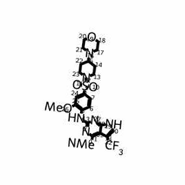 CNc1nc(Nc2ccc(S(=O)(=O)N3CCC(N4CCOCC4)CC3)cc2OC)nc2[nH]cc(C(F)(F)F)c12